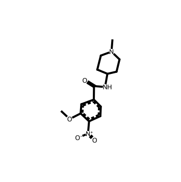 COc1cc(C(=O)NC2CCN(C)CC2)ccc1[N+](=O)[O-]